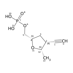 C#C[C@H]1C[C@@H](COP(=O)(O)O)O[C@H]1C